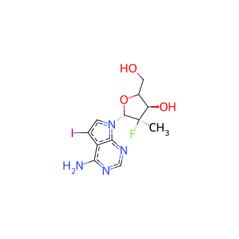 C[C@@]1(F)[C@H](O)C(CO)O[C@H]1n1cc(I)c2c(N)ncnc21